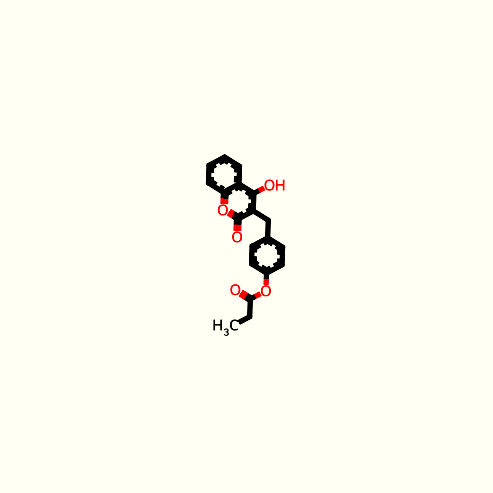 CCC(=O)Oc1ccc(Cc2c(O)c3ccccc3oc2=O)cc1